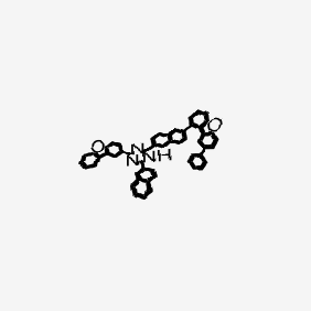 c1ccc(-c2ccc3oc4cccc(-c5ccc6cc(C7=NC(c8ccc9oc%10ccccc%10c9c8)=NC(c8ccc9ccccc9c8)N7)ccc6c5)c4c3c2)cc1